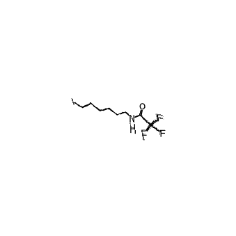 O=C(NCCCCCCI)C(F)(F)F